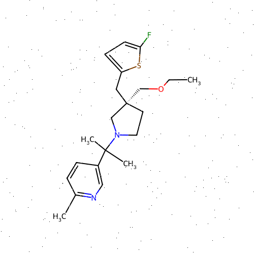 CCOC[C@]1(Cc2ccc(F)s2)CCN(C(C)(C)c2ccc(C)nc2)C1